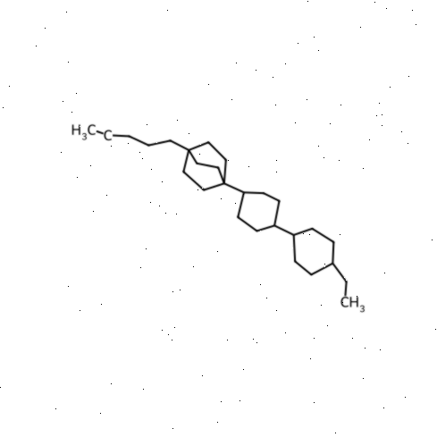 CCCCCC12CCC(C3CCC(C4CCC(CC)CC4)CC3)(CC1)CC2